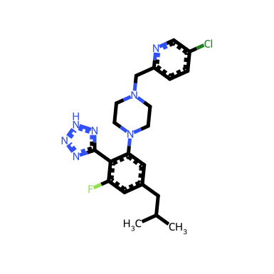 CC(C)Cc1cc(F)c(-c2nn[nH]n2)c(N2CCN(Cc3ccc(Cl)cn3)CC2)c1